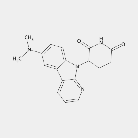 CN(C)c1ccc2c(c1)c1cccnc1n2C1CCC(=O)NC1=O